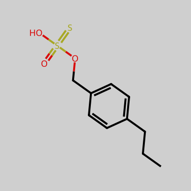 CCCc1ccc(COS(=O)(O)=S)cc1